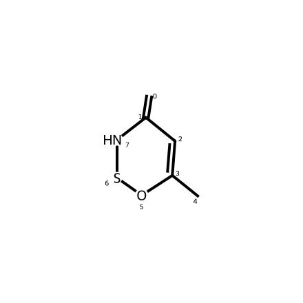 C=C1C=C(C)OSN1